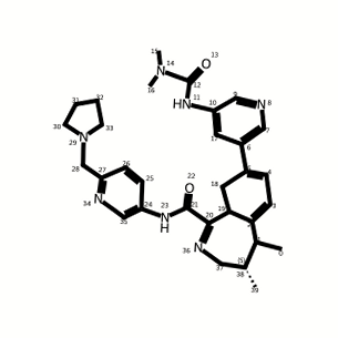 CC1C2=CC=C(c3cncc(NC(=O)N(C)C)c3)CC2C(C(=O)Nc2ccc(CN3CCCC3)nc2)=NC[C@H]1C